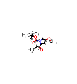 CCC(=O)[C@@H]1C[C@H](OC)CN1C(=O)OC(C)(C)C